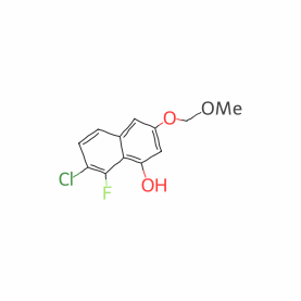 COCOc1cc(O)c2c(F)c(Cl)ccc2c1